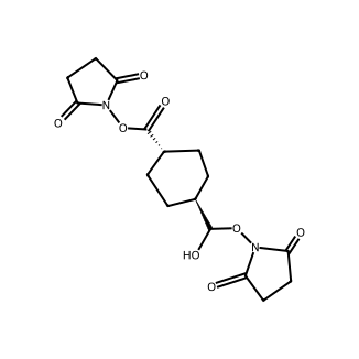 O=C1CCC(=O)N1OC(=O)[C@H]1CC[C@H](C(O)ON2C(=O)CCC2=O)CC1